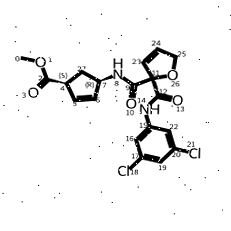 COC(=O)[C@@H]1C=C[C@H](NC(=O)C2(C(=O)Nc3cc(Cl)cc(Cl)c3)C=CCO2)C1